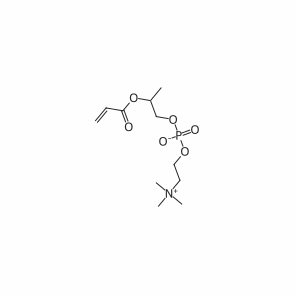 C=CC(=O)OC(C)COP(=O)([O-])OCC[N+](C)(C)C